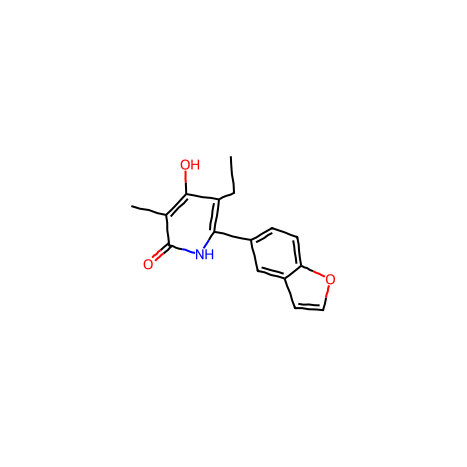 CCc1c(-c2ccc3occc3c2)[nH]c(=O)c(C)c1O